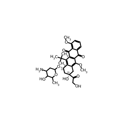 COc1cccc2c1C(=O)c1c(c(OC)c3c(c1C(C)(C)C)[C@@H](OC1CC(N)C(O)C(C)O1)C[C@](O)(C(=O)CO)C3)C2=O